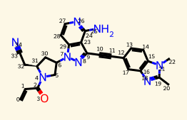 C=CC(=O)N1CC(n2nc(C#Cc3ccc4c(c3)nc(C)n4C)c3c(N)nccc32)C[C@@H]1CC#N